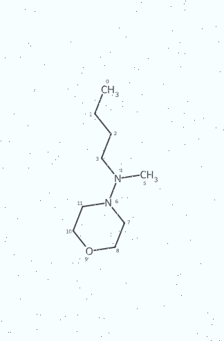 CCCCN(C)N1CCOCC1